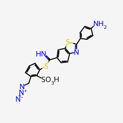 [N-]=[N+]=NCc1cccc(SC(=N)c2ccc3nc(-c4ccc(N)cc4)sc3c2)c1S(=O)(=O)O